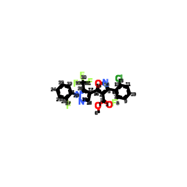 COC(=O)c1c(-c2c(F)cccc2Cl)noc1-c1cnn(-c2ccccc2F)c1C(F)(F)F